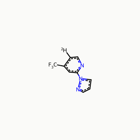 [2H]c1cnc(-n2cccn2)cc1C(F)(F)F